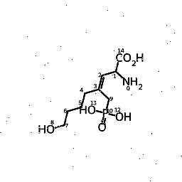 NC(C=C(CCCCO)CP(=O)(O)O)C(=O)O